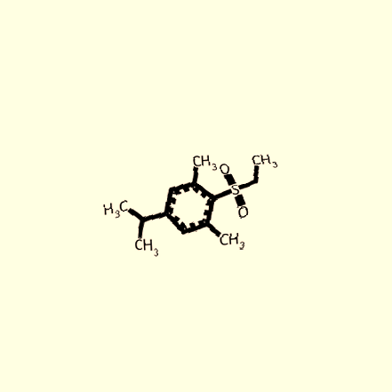 CCS(=O)(=O)c1c(C)cc(C(C)C)cc1C